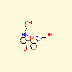 O=C1c2cccc(NCCCO)c2C(=O)c2c(NCCCO)cccc21